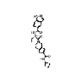 CC[C@@H](NC(=O)c1ccc2[nH]ncc2c1)C(=O)N1CCc2sc(C(=O)NC3CCC3)cc2C1